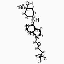 CC(C)(C)C1(O)CCC(Nc2ncnc3c2ccn3COCC[Si](C)(C)C)CC1